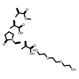 C=C(C)C(=O)O.C=C(C)C(=O)O.C=C(C)C(=O)OC.C=CN1CCCC1=O.OCCOCCOCCO